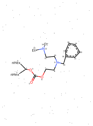 CCCCCCC(CCCCCC)OC(=O)OCCN(CCN(CC)CC)Cc1ccccc1